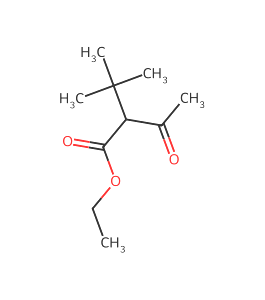 CCOC(=O)C(C(C)=O)C(C)(C)C